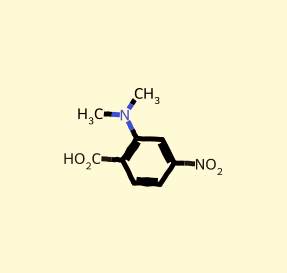 CN(C)c1cc([N+](=O)[O-])ccc1C(=O)O